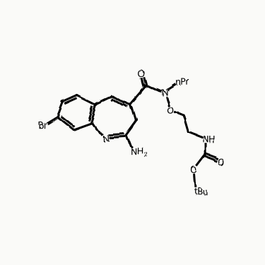 CCCN(OCCNC(=O)OC(C)(C)C)C(=O)C1=Cc2ccc(Br)cc2N=C(N)C1